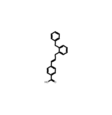 O=C(O)c1ccc(C=CCc2ccccc2Cc2ccccc2)cc1